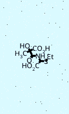 CCSC(NC(=O)C(C)(O)C(=O)O)C(=O)O